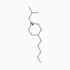 CCCCCC1CCN(CC(C)C)CC1